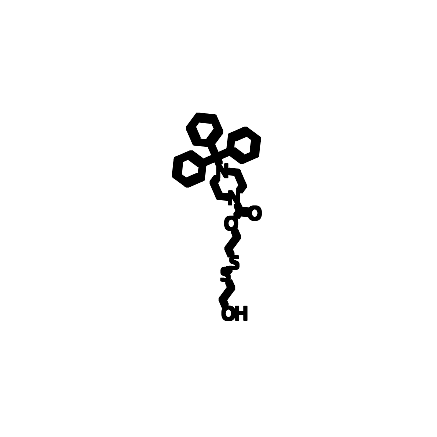 O=C(OCCSSCCO)N1CCN(C(c2ccccc2)(c2ccccc2)c2ccccc2)CC1